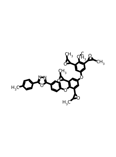 COc1c(C2OC2C)cc(Oc2cc(C3OC3C)c(Oc3ccc(-c4nnc(-c5ccc(C)cc5)o4)cc3)c(C3OC3C)c2)cc1C1OC1C